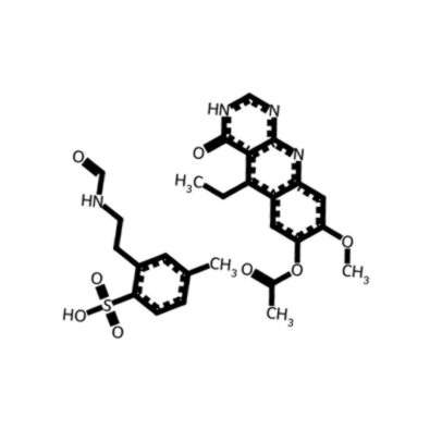 CCc1c2cc(OC(C)=O)c(OC)cc2nc2nc[nH]c(=O)c12.Cc1ccc(S(=O)(=O)O)c(CCNC=O)c1